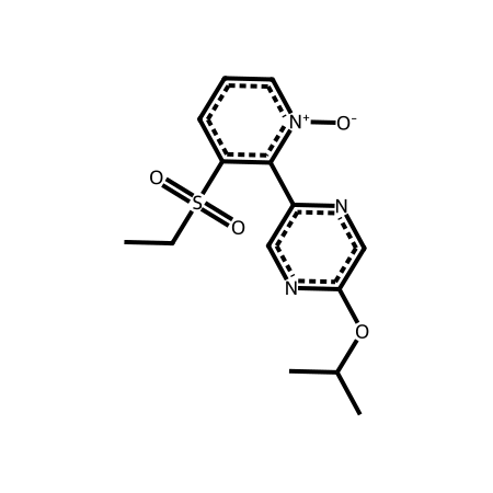 CCS(=O)(=O)c1ccc[n+]([O-])c1-c1cnc(OC(C)C)cn1